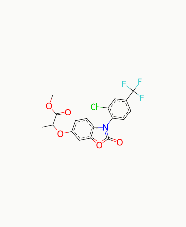 COC(=O)C(C)Oc1ccc2c(c1)oc(=O)n2-c1ccc(C(F)(F)F)cc1Cl